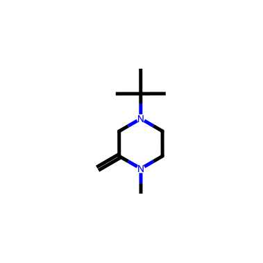 C=C1CN(C(C)(C)C)CCN1C